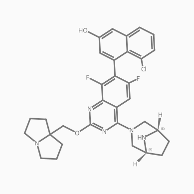 Oc1cc(-c2c(F)cc3c(N4C[C@H]5CC[C@@H](C4)N5)nc(OCC45CCCN4CCC5)nc3c2F)c2c(Cl)cccc2c1